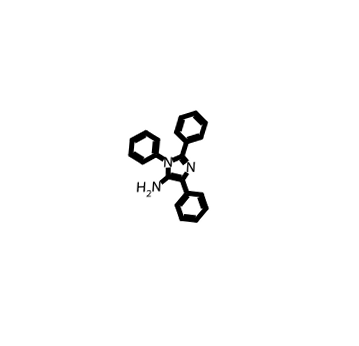 Nc1c(-c2ccccc2)nc(-c2ccccc2)n1-c1ccccc1